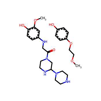 COCCOc1ccc(O)cc1.COc1cc(NCC(=O)N2CCNC(N3CCNCC3)C2)ccc1O